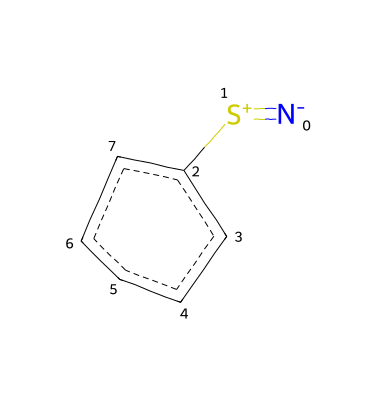 [N-]=[S+]c1ccccc1